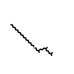 CCCCCCCCCCCCCCCCCCOCCC(C)CCCC(C)CCCC(C)C